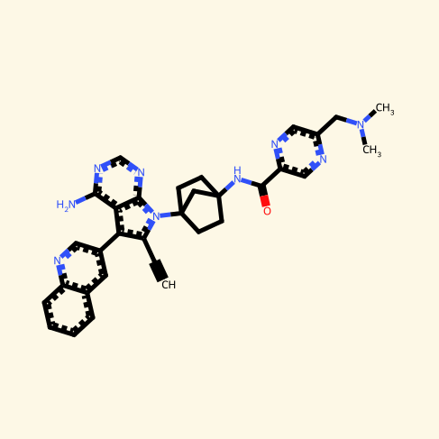 C#Cc1c(-c2cnc3ccccc3c2)c2c(N)ncnc2n1C12CCC(NC(=O)c3cnc(CN(C)C)cn3)(CC1)C2